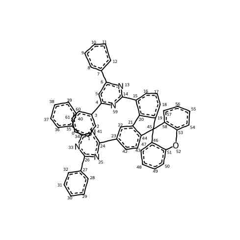 c1ccc(-c2cc(-c3ccccc3)nc(-c3cccc4c3-c3cc(-c5nc(-c6ccccc6)nc(-c6ccccc6)n5)ccc3C43c4ccccc4Oc4ccccc43)n2)cc1